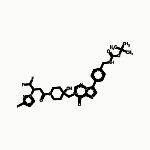 CC(C)(C)OC(=O)NCc1ccc(-c2cnc3c(=O)n(CC4(O)CCN(C(=O)CC(C(F)F)n5ccc(F)n5)CC4)cnn23)cc1